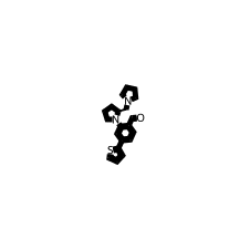 O=Cc1ccc(-c2cccs2)cc1N1CCC[C@H]1CN1CCCC1